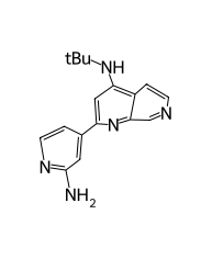 CC(C)(C)Nc1cc(-c2ccnc(N)c2)nc2cnccc12